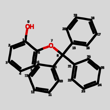 Oc1ccccc1OC(c1ccccc1)(c1ccccc1)c1ccccc1